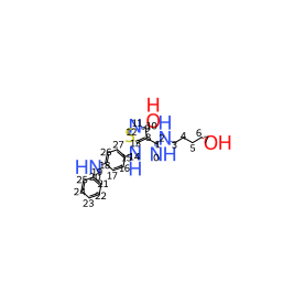 N=C(NCCCCO)c1c(O)nsc1Nc1ccc(Nc2ccccc2)cc1